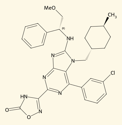 COC[C@H](Nc1nc2nc(-c3noc(=O)[nH]3)nc(-c3cccc(Cl)c3)c2n1C[C@H]1CC[C@H](C)CC1)c1ccccc1